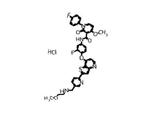 COCCNCc1ccc(-c2cc3nccc(Oc4ccc(NC(=O)c5c(OC)ccn(-c6ccc(F)cc6)c5=O)cc4F)c3s2)nc1.Cl